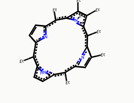 CCC1=Cc2nc1c(CC)c1c(CC)c(CC)c(c(CC)c3nc(c(CC)c4ccc([nH]4)c2CC)C=C3)n1CC